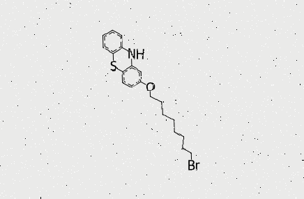 BrCCCCCCCCOc1ccc2c(c1)Nc1ccccc1S2